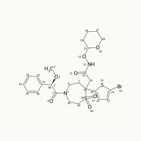 CO[C@@H](C(=O)N1CCC(CC(=O)NOC2CCCCO2)(c2ccc(Br)s2)S(=O)(=O)CC1)c1ccccc1